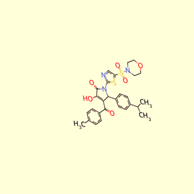 Cc1ccc(C(=O)C2=C(O)C(=O)N(c3ncc(S(=O)(=O)N4CCOCC4)s3)C2c2ccc(C(C)C)cc2)cc1